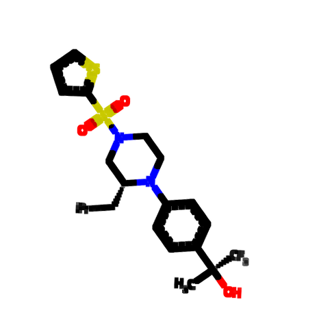 CC(C)C[C@@H]1CN(S(=O)(=O)c2cccs2)CCN1c1ccc([C@](C)(O)C(F)(F)F)cc1